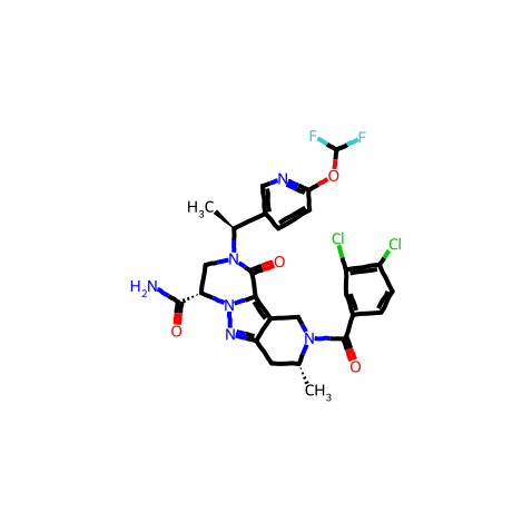 C[C@@H]1Cc2nn3c(c2CN1C(=O)c1ccc(Cl)c(Cl)c1)C(=O)N([C@@H](C)c1ccc(OC(F)F)nc1)C[C@H]3C(N)=O